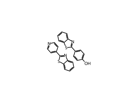 Oc1ccc(-c2nc3ccccc3s2)cc1.c1ccc2sc(-c3ccncc3)nc2c1